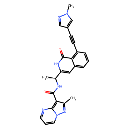 Cc1nn2cccnc2c1C(=O)N[C@@H](C)c1cc2cccc(C#Cc3cnn(C)c3)c2c(=O)[nH]1